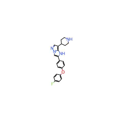 Fc1ccc(Oc2ccc(-c3cn4ncc(C5CCNCC5)c4[nH]3)cc2)cc1